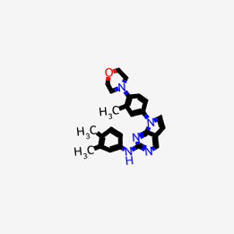 Cc1ccc(Nc2ncc3ccn(-c4ccc(N5CCOCC5)c(C)c4)c3n2)cc1C